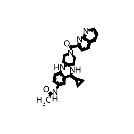 CC(=O)Nc1ccc2c(c1)C(=C1CC1)NC1(CCN(C(=O)c3ccc4cccnc4n3)CC1)N2